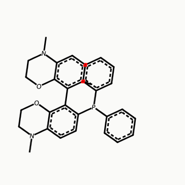 Cc1ccc2c(c1-c1c(P(c3ccccc3)c3ccccc3)ccc3c1OCCN3C)OCCN2C